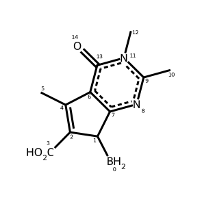 BC1C(C(=O)O)=C(C)c2c1nc(C)n(C)c2=O